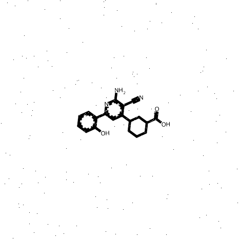 N#Cc1c(C2CCCC(C(=O)O)C2)cc(-c2ccccc2O)nc1N